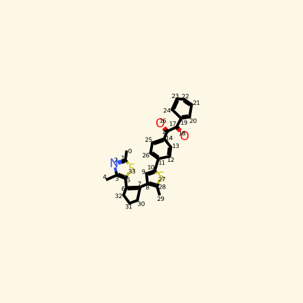 Cc1nc(C)c(C2=C(c3cc(-c4ccc(C(=O)C(=O)c5ccccc5)cc4)sc3C)CCC2)s1